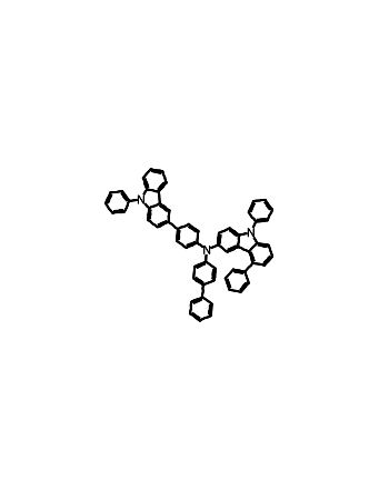 c1ccc(-c2ccc(N(c3ccc(-c4ccc5c(c4)c4ccccc4n5-c4ccccc4)cc3)c3ccc4c(c3)c3c(-c5ccccc5)cccc3n4-c3ccccc3)cc2)cc1